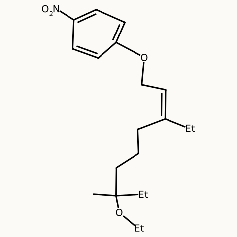 CCOC(C)(CC)CCCC(=CCOc1ccc([N+](=O)[O-])cc1)CC